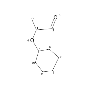 CC([C]=O)OC1CCCCC1